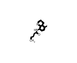 C=CCCC(=O)Nc1ccc(I)c2cccnc12